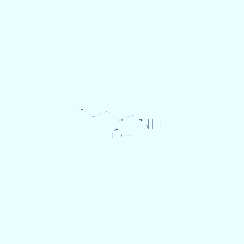 NC[C@H](O)CCI